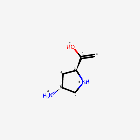 C=C(O)[C@@H]1C[C@@H](N)CN1